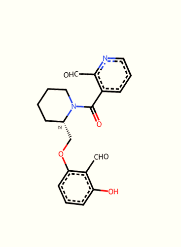 O=Cc1ncccc1C(=O)N1CCCC[C@H]1COc1cccc(O)c1C=O